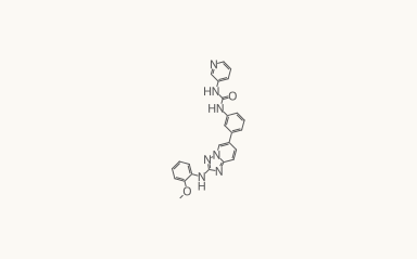 COc1ccccc1Nc1nc2ccc(-c3cccc(NC(=O)Nc4cccnc4)c3)cn2n1